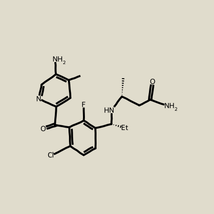 CC[C@@H](N[C@H](C)CC(N)=O)c1ccc(Cl)c(C(=O)c2cc(C)c(N)cn2)c1F